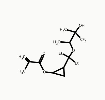 C=C(C)C(=O)OC1CC1C(CC)(CC)OC(C)C(C)(O)C(F)(F)F